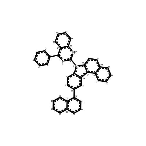 c1ccc(-c2nc(-n3c4ccc(-c5cccc6ccccc56)cc4c4c5ccccc5ccc43)nc3ccccc23)cc1